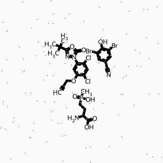 C#CCOc1cc(-n2nc(C(C)(C)C)oc2=O)c(Cl)cc1Cl.CP(=O)(O)CCC(N)C(=O)O.N#Cc1cc(Br)c(O)c(Br)c1